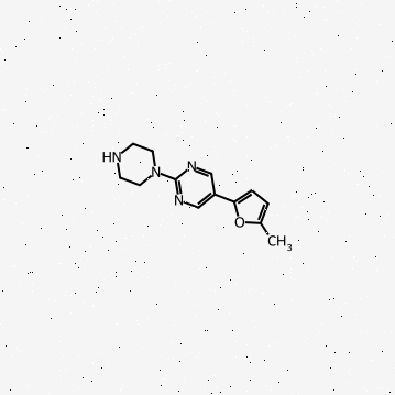 Cc1ccc(-c2cnc(N3CCNCC3)nc2)o1